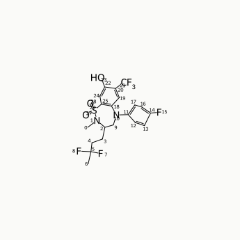 CN1C(CCC(C)(F)F)CN(c2ccc(F)cc2)c2cc(C(F)(F)F)c(O)cc2S1(=O)=O